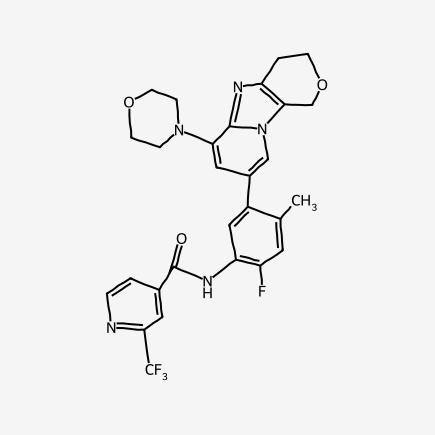 Cc1cc(F)c(NC(=O)c2ccnc(C(F)(F)F)c2)cc1-c1cc(N2CCOCC2)c2nc3c(n2c1)COCC3